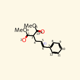 COC(=O)C(C/C=C/c1ccccc1)C(=O)OC